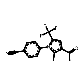 CC(=O)c1cc(C(F)(F)F)n(-c2ccc(C#N)cc2)c1C